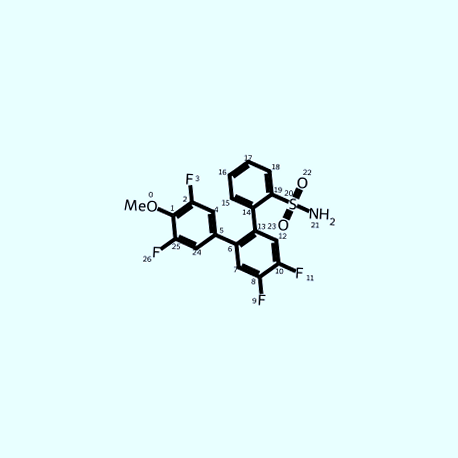 COc1c(F)cc(-c2cc(F)c(F)cc2-c2ccccc2S(N)(=O)=O)cc1F